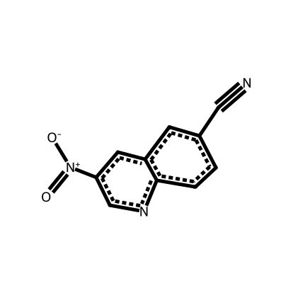 N#Cc1ccc2ncc([N+](=O)[O-])cc2c1